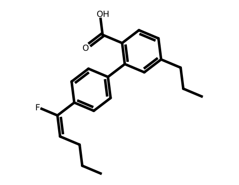 CCC/C=C(/F)c1ccc(-c2cc(CCC)ccc2C(=O)O)cc1